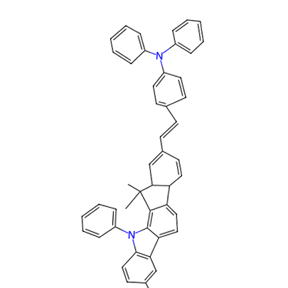 Cc1ccc2c(c1)c1ccc3c(c1n2-c1ccccc1)C(C)(C)C1C=C(/C=C/c2ccc(N(c4ccccc4)c4ccccc4)cc2)C=CC31